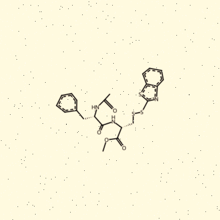 COC(=O)[C@@H](CSSc1nc2ccccc2s1)NC(=O)[C@H](Cc1ccccc1)NC(C)=O